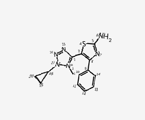 C[n+]1c(-c2sc(N)nc2-c2ccccc2)nnn1C1CC1